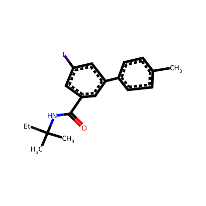 CCC(C)(C)NC(=O)c1cc(I)cc(-c2ccc(C)cc2)c1